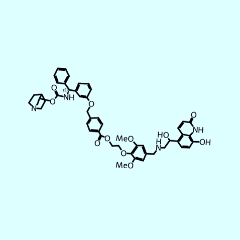 COc1cc(CNCC(O)c2ccc(O)c3[nH]c(=O)ccc23)cc(OC)c1OCCOC(=O)c1ccc(COc2cccc([C@@H](NC(=O)OC3CN4CCC3CC4)c3ccccc3)c2)cc1